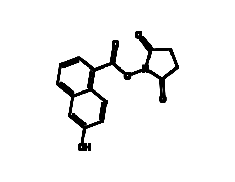 O=C(ON1C(=O)CCC1=O)c1cccc2cc(O)ccc12